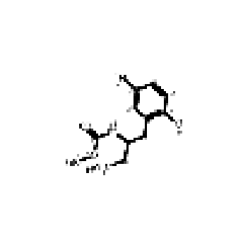 CC(C)(C)OC(=O)NC(CC(=O)O)Cc1cc(N)ccc1Cl